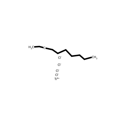 CCCCCCCCCC.[Cl-].[Cl-].[Cl-].[Cl-].[Ti+4]